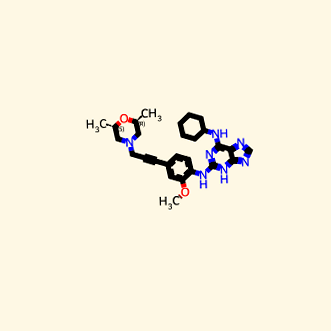 COc1cc(C#CCN2C[C@@H](C)O[C@@H](C)C2)ccc1Nc1nc(NC2CCCCC2)c2ncnc-2[nH]1